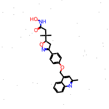 Cc1cc(COc2ccc(C3=NOC(C(C)(C)CC(=O)NO)C3)cc2)c2ccccc2n1